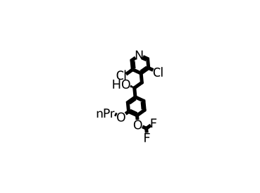 CCCOc1cc([C@@H](O)Cc2c(Cl)cncc2Cl)ccc1OC(F)F